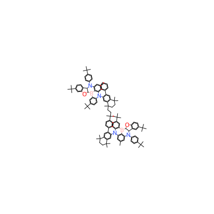 Cc1cc2c3c(c1)N(c1ccc(C(C)(C)C)cc1)C1c4cc(C(C)(C)C)ccc4OC1B3c1cc(C(C)(C)C)ccc1N2c1cc2c(cc1-c1ccc(C(C)(C)CCC3(C)CCC(C)(C)c4cc(-c5ccccc5)c(N5c6ccc(C(C)(C)C)cc6B6c7c5cc(C)cc7N(c5ccc(C(C)(C)C)cc5)C5c7ccc(C(C)(C)C)cc7OC65)cc43)cc1)C(C)(C)CCC2(C)C